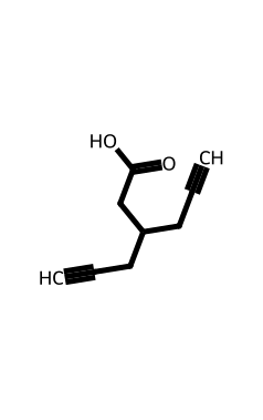 C#CCC(CC#C)CC(=O)O